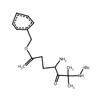 C=C(CCC(N)C(=O)C(C)(C)NCCCC)OCc1ccccc1